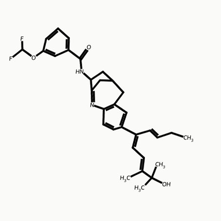 CC/C=C/C(=C\C=C(/C)C(C)(C)O)c1ccc2c(c1)CC1CC(=N2)C(NC(=O)c2cccc(OC(F)F)c2)C1